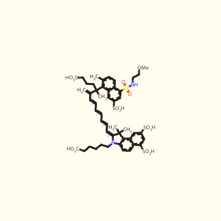 C=C(/C=C/C=C/C=C/C=C1/N(CCCCCC(=O)O)c2ccc3c(S(=O)(=O)O)cc(S(=O)(=O)O)cc3c2C1(C)C)C(C)(CCCS(=O)(=O)O)c1c(C)ccc2c(S(=O)(=O)NCCOC)cc(S(=O)(=O)O)cc12